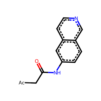 CC(=O)CC(=O)Nc1ccc2cnccc2c1